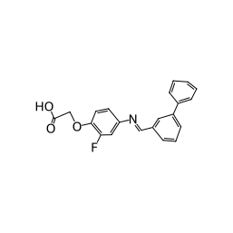 O=C(O)COc1ccc(N=Cc2cccc(-c3ccccc3)c2)cc1F